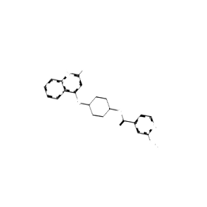 N#Cc1cc(C(=O)NC2CCC(Nc3cc(C(F)(F)F)nc4ccccc34)CC2)ccn1